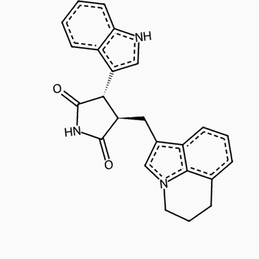 O=C1NC(=O)[C@H](Cc2cn3c4c(cccc24)CCC3)[C@H]1c1c[nH]c2ccccc12